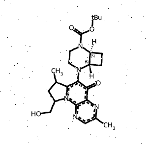 Cc1cnc2c(n1)c(=O)c(N1CCN(C(=O)OC(C)(C)C)[C@H]3CC[C@@H]31)c1n2C(CO)CC1C